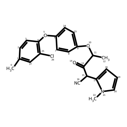 Cc1ccc(Oc2ccc(OC(C)C(=O)C(C#N)c3cccn3C)cc2)c(Cl)c1